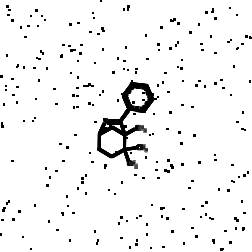 CC1(C)CCC2CC1(C)C(c1ccccc1)=N2